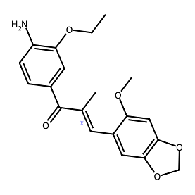 CCOc1cc(C(=O)/C(C)=C/c2cc3c(cc2OC)OCO3)ccc1N